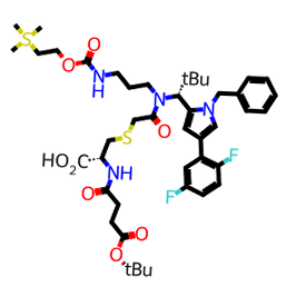 CC(C)(C)OC(=O)CCC(=O)N[C@@H](CSCC(=O)N(CCCNC(=O)OCCS(C)(C)C)[C@@H](c1cc(-c2cc(F)ccc2F)cn1Cc1ccccc1)C(C)(C)C)C(=O)O